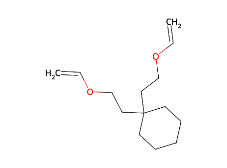 C=COCCC1(CCOC=C)CCCCC1